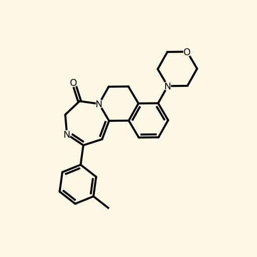 Cc1cccc(C2=NCC(=O)N3CCc4c(cccc4N4CCOCC4)C3=C2)c1